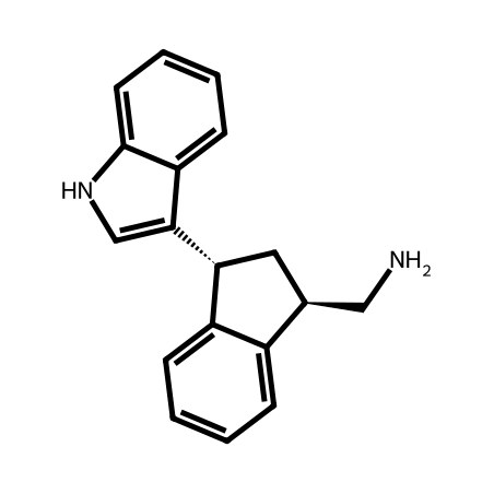 NC[C@@H]1C[C@@H](c2c[nH]c3ccccc23)c2ccccc21